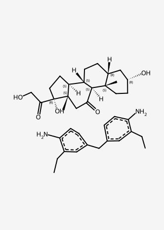 CCc1cc(Cc2ccc(N)c(CC)c2)ccc1N.C[C@]12CC[C@@H](O)C[C@H]1CC[C@@H]1[C@@H]2C(=O)C[C@@]2(C)[C@H]1CC[C@]2(O)C(=O)CO